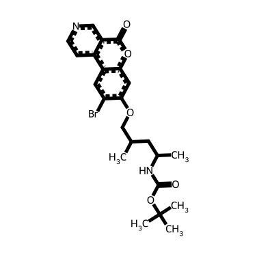 CC(COc1cc2oc(=O)c3cnccc3c2cc1Br)CC(C)NC(=O)OC(C)(C)C